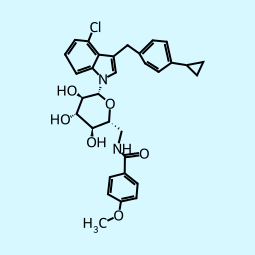 COc1ccc(C(=O)NC[C@H]2O[C@@H](n3cc(Cc4ccc(C5CC5)cc4)c4c(Cl)cccc43)[C@H](O)[C@@H](O)[C@@H]2O)cc1